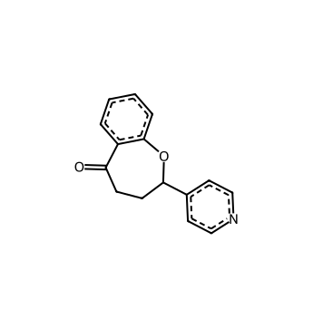 O=C1CCC(c2ccncc2)Oc2ccccc21